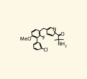 COc1ccc(Cc2ccc(C(=O)C(C)(C)N)nc2)c(F)c1-c1cccc(Cl)c1